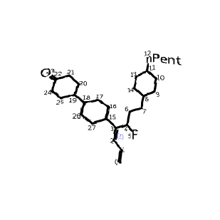 C=C/C=C(\C(F)CCC1CCC(CCCCC)CC1)C1CCC(C2CCC(=O)CC2)CC1